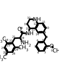 COc1ccccc1Cc1ccc2c(c1)C(NC(=O)C(N)Cc1c(C)cc(C)cc1C)CCN2